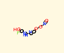 Oc1ccc(-n2cc(-c3ccc4ccc(OCCOCCN5CCOCC5)cc4n3)nn2)cc1F